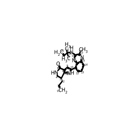 C=CC[C@H]1CNC(=O)c2cc(-c3cccc4nc(C)c(NC(C)(C)C=C)nc34)[nH]c21